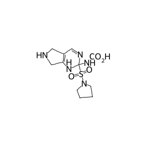 O=C(O)NC1(S(=O)(=O)N2CCCC2)N=CC2=C(CNC2)N1